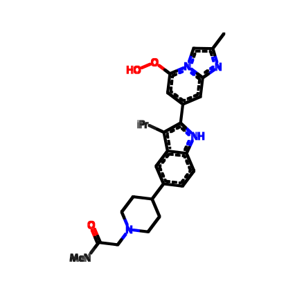 CNC(=O)CN1CCC(c2ccc3[nH]c(-c4cc(OO)n5cc(C)nc5c4)c(C(C)C)c3c2)CC1